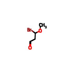 COC(Br)CC=O